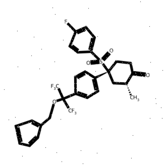 C[C@@H]1C[C@](c2ccc(C(OCc3ccccc3)(C(F)(F)F)C(F)(F)F)cc2)(S(=O)(=O)c2ccc(F)cc2)CCC1=O